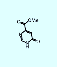 COC(=O)c1cc(=O)[nH]cn1